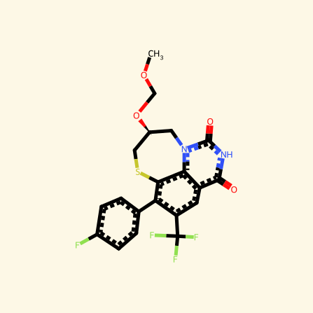 COCO[C@@H]1CSc2c(-c3ccc(F)cc3)c(C(F)(F)F)cc3c(=O)[nH]c(=O)n(c23)C1